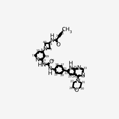 CC#CC(=O)NC1CN(c2ccnc(NC(=O)Nc3ccc(-c4cc5c(N6CCOCC6)ncnc5[nH]4)cc3)c2)C1